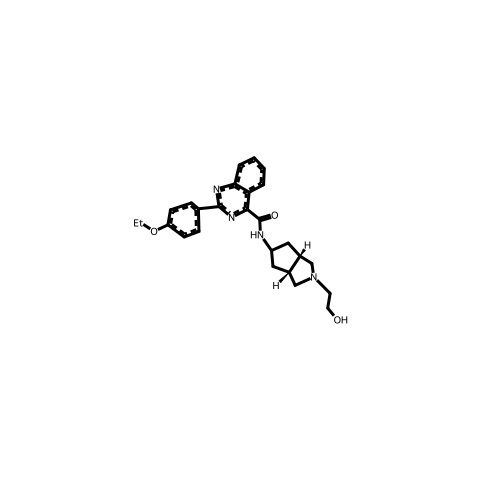 CCOc1ccc(-c2nc(C(=O)NC3C[C@@H]4CN(CCO)C[C@@H]4C3)c3ccccc3n2)cc1